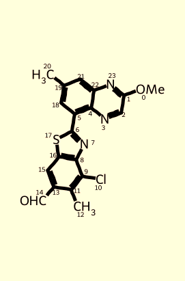 COc1cnc2c(-c3nc4c(Cl)c(C)c(C=O)cc4s3)cc(C)cc2n1